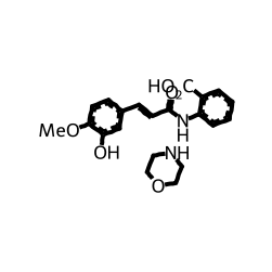 C1COCCN1.COc1ccc(C=CC(=O)Nc2ccccc2C(=O)O)cc1O